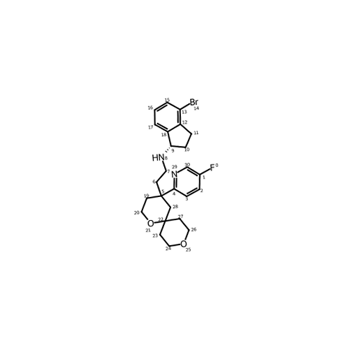 Fc1ccc(C2(CCN[C@H]3CCc4c(Br)cccc43)CCOC3(CCOCC3)C2)nc1